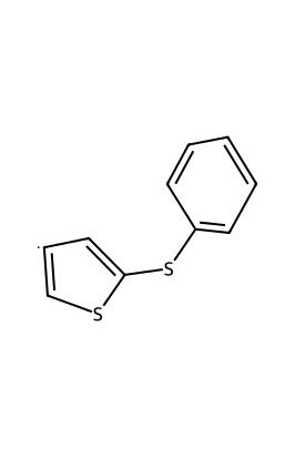 [c]1csc(Sc2ccccc2)c1